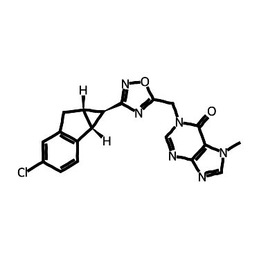 Cn1cnc2ncn(Cc3nc([C@@H]4[C@H]5Cc6cc(Cl)ccc6[C@H]54)no3)c(=O)c21